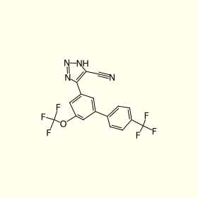 N#Cc1[nH]nnc1-c1cc(OC(F)(F)F)cc(-c2ccc(C(F)(F)F)cc2)c1